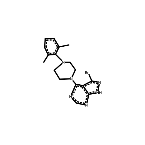 Cc1cccc(C)c1N1CCN(c2ncnc3[nH]nc(Br)c23)CC1